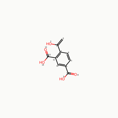 C=C(O)c1ccc(C(=O)O)cc1C(=O)O